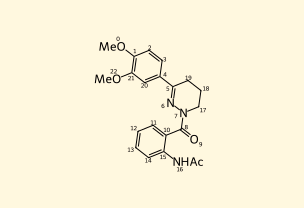 COc1ccc(C2=NN(C(=O)c3ccccc3NC(C)=O)CCC2)cc1OC